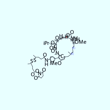 COc1cc2cc(c1-c1ccc(NC(=O)CCC(C)SSC(C)CCC(=O)ON3C(=O)CCC3=O)cc1)N(C)C(=O)C[C@H](OC(O)C(C)C)[C@]1(C)O[C@H]1[C@H](C)[C@@H]1C[C@@](O)(NC(=O)O1)[C@H](OC)/C=C/C=C(\C)C2